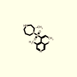 C/C=C(\c1c(C)cncc1F)S(=O)(=O)N1CCCNC[C@@H]1C